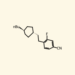 CCCC[C@H]1CC[C@H](CCc2ccc(C#N)cc2F)CC1